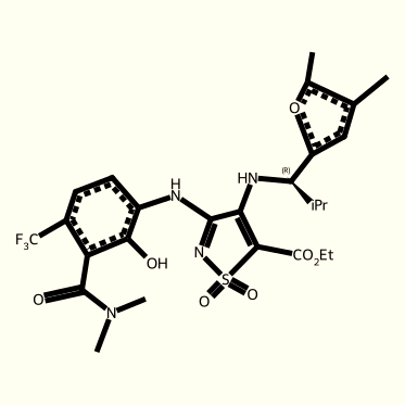 CCOC(=O)C1=C(N[C@@H](c2cc(C)c(C)o2)C(C)C)C(Nc2ccc(C(F)(F)F)c(C(=O)N(C)C)c2O)=NS1(=O)=O